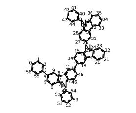 c1ccc(-c2ccc3c(c2)c2cc(-c4ccc5c(c4)c4ccccc4n5-c4ccc5c(c4)c4ccccc4n5-c4ccccc4)ccc2n3-c2ccccc2)cc1